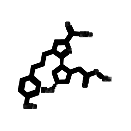 COC(=O)C1=CC(CCCc2ccc(OC)cc2)C([C@@H]2C[C@@H](OC)CC2CC(=O)OC(C)(C)C)=N1